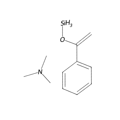 C=C(O[SiH3])c1ccccc1.CN(C)C